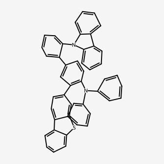 c1ccc(N(c2ccccc2)c2ccc(-c3ccccc3-n3c4ccccc4c4ccccc43)cc2-c2ccc3c(c2)sc2ccccc23)cc1